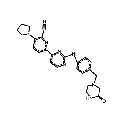 N#Cc1nc(-c2ccnc(Nc3ccc(CN4CCNC(=O)C4)nc3)n2)ccc1N1CCCC1